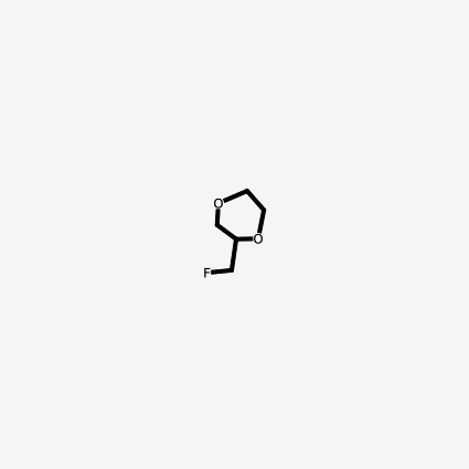 FCC1COCCO1